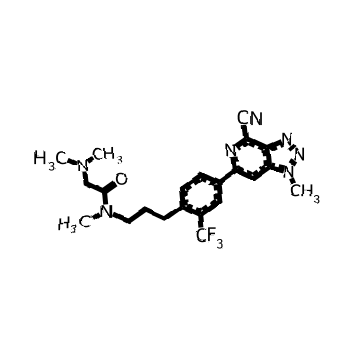 CN(C)CC(=O)N(C)CCCc1ccc(-c2cc3c(nnn3C)c(C#N)n2)cc1C(F)(F)F